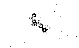 Cc1c(F)ccc(C2CCN(C(=O)c3n[nH]c4c3CN(C(=O)N3CCCC3)C4)CC2)c1C(F)(F)F